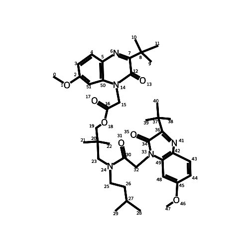 COc1ccc2nc(C(C)(C)C)c(=O)n(CC(=O)OCC(C)(C)CN(CCC(C)C)C(=O)Cn3c(=O)c(C(C)(C)C)nc4ccc(OC)cc43)c2c1